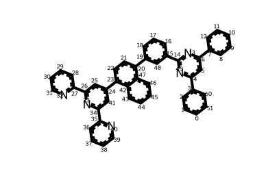 c1ccc(-c2cc(-c3ccccc3)nc(-c3cccc(-c4ccc(-c5cc(-c6ccccn6)nc(-c6ccccn6)c5)c5ccccc45)c3)n2)cc1